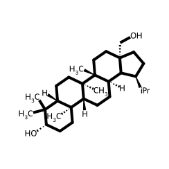 CC(C)[C@@H]1CC[C@]2(CO)CC[C@]3(C)[C@H](CC[C@@H]4[C@@]5(C)CC[C@H](O)C(C)(C)[C@@H]5CC[C@]43C)C12